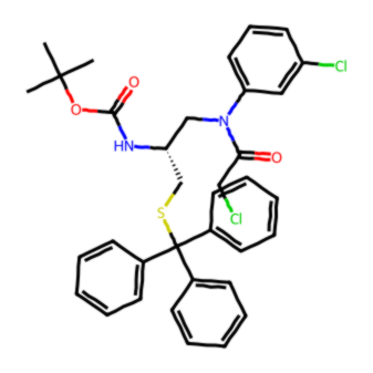 CC(C)(C)OC(=O)N[C@@H](CSC(c1ccccc1)(c1ccccc1)c1ccccc1)CN(C(=O)CCl)c1cccc(Cl)c1